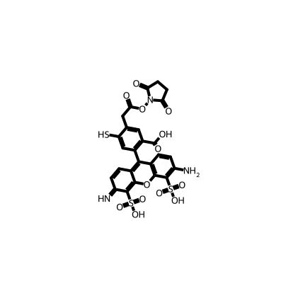 N=c1ccc2c(-c3cc(S)c(CC(=O)ON4C(=O)CCC4=O)cc3C(=O)O)c3ccc(N)c(S(=O)(=O)O)c3oc-2c1S(=O)(=O)O